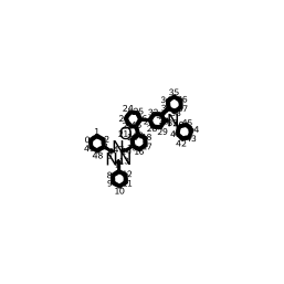 c1ccc(-c2nc(-c3ccccc3)nc(-c3cccc4c3oc3cccc(-c5ccc6c(c5)c5ccccc5n6-c5ccccc5)c34)n2)cc1